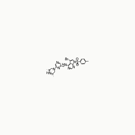 Cc1ccc(S(=O)(=O)n2cc(Br)c3c(NCc4cncc(N5C[C@@H](C)N[C@@H](C)C5)n4)ncnc32)cc1